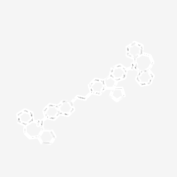 C1=CC2CCc3ccccc3N(c3ccc4cc(/C=C/c5ccc6c(c5)C5(CCCC5)c5cc(N7c8ccccc8CCc8ccccc87)ccc5-6)ccc4c3)C2C=C1